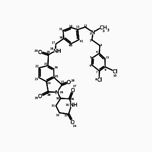 CN(CCc1ccc(Cl)c(Cl)c1)Cc1ccc(CNC(=O)c2ccc3c(c2)C(=O)N(C2CCC(=O)NC2=O)C3=O)cc1